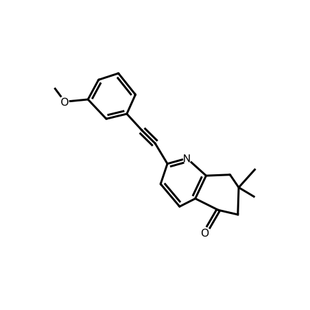 COc1cccc(C#Cc2ccc3c(n2)CC(C)(C)CC3=O)c1